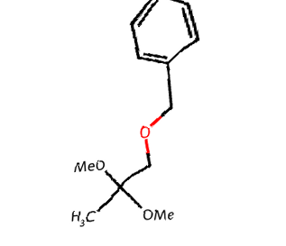 COC(C)(COCc1ccccc1)OC